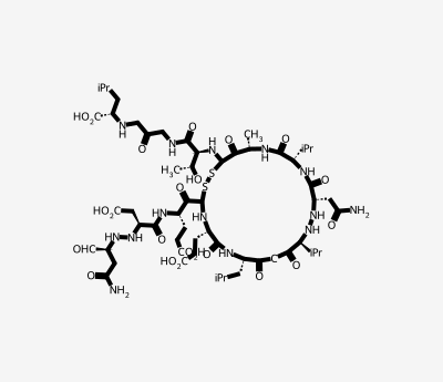 CC(C)C[C@H](NCC(=O)CNC(=O)[C@@H](NC1SSC(C(=O)[C@H](CCC(=O)O)NC(=O)[C@H](CC(=O)O)NN[C@H](C=O)CC(N)=O)N[C@@H](CCC(=O)O)C(=O)N[C@@H](CC(C)C)C(=O)CC(=O)[C@H](C(C)C)NN[C@@H](CC(N)=O)C(=O)N[C@@H](C(C)C)C(=O)N[C@@H](C)C1=O)[C@@H](C)O)C(=O)O